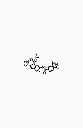 Cc1nn(C)c2cc(C(=O)Nc3cc4c(cn3)cc([C@H]3CCCN3C)n4C(=O)OC(C)(C)C)ccc12